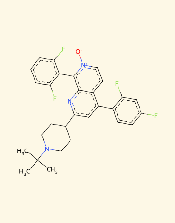 CC(C)(C)N1CCC(c2cc(-c3ccc(F)cc3F)c3cc[n+]([O-])c(-c4c(F)cccc4F)c3n2)CC1